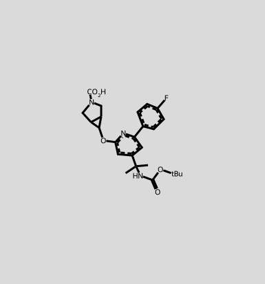 CC(C)(C)OC(=O)NC(C)(C)c1cc(OC2C3CN(C(=O)O)CC32)nc(-c2ccc(F)cc2)c1